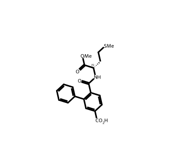 COC(=O)[C@H](CCSC)NC(=O)c1ccc(C(=O)O)cc1-c1ccccc1